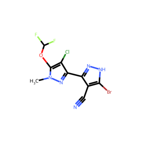 Cn1nc(-c2n[nH]c(Br)c2C#N)c(Cl)c1OC(F)F